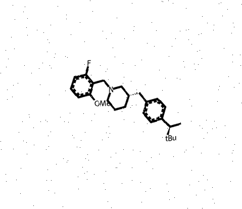 COc1cccc(F)c1CN1CCC[C@@H](Cc2ccc([C@@H](C)C(C)(C)C)cc2)C1